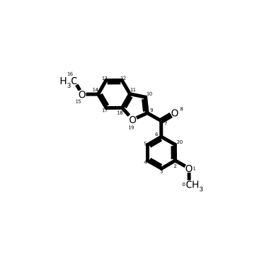 COc1cccc(C(=O)c2cc3ccc(OC)cc3o2)c1